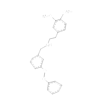 COc1ccc(CCNCc2cccc(OOc3ccccc3)c2)cc1OC